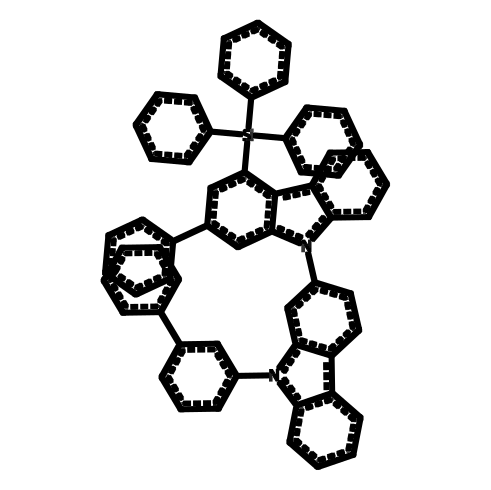 c1ccc(-c2cccc(-n3c4ccccc4c4ccc(-n5c6ccccc6c6c([Si](c7ccccc7)(c7ccccc7)c7ccccc7)cc(-c7ccccc7)cc65)cc43)c2)cc1